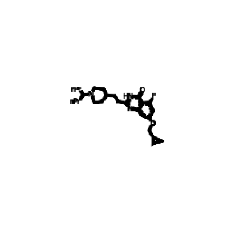 CCCC(CCC)N1CCC(CCc2nc3cc(OCC4CC4)cc(F)c3c(=O)[nH]2)CC1